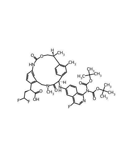 Cc1cc2ccc1[C@@H](C)COC(=O)Nc1ccc([C@H](CC(F)F)C(=O)O)c(c1)CN(C)C(=O)[C@@H]2Nc1ccc2c(N(C(=O)OC(C)(C)C)C(=O)OC(C)(C)C)ncc(F)c2c1